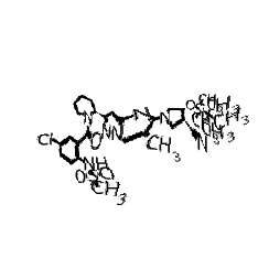 Cc1cn2nc([C@@H]3CCCCN3C(=O)c3cc(Cl)ccc3NS(C)(=O)=O)cc2nc1N1CC(O[Si](C)(C)C(C)(C)C)[C@@H](C#N)C1